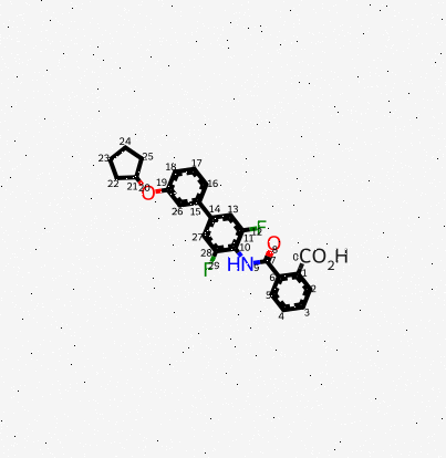 O=C(O)c1ccccc1C(=O)Nc1c(F)cc(-c2cccc(OC3CCCC3)c2)cc1F